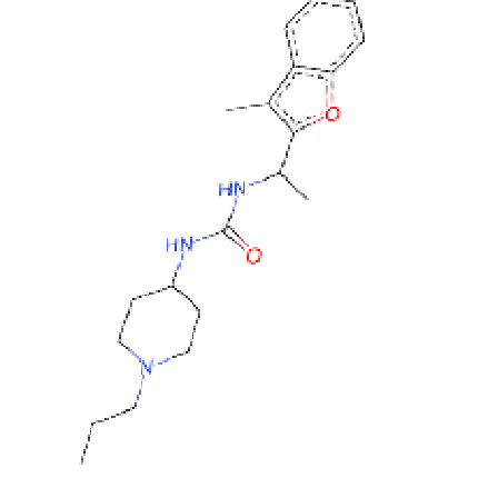 CCCN1CCC(NC(=O)NC(C)c2oc3ccccc3c2C)CC1